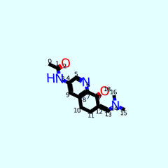 CC(=O)Nc1cnc2c(c1)CC/C(=C/N(C)C)C2=O